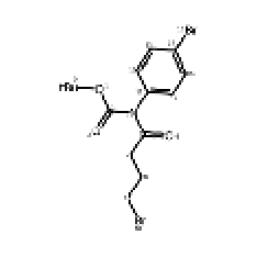 CC(C)(C)OC(=O)N(C(=O)CCCBr)c1ccc(Br)cc1